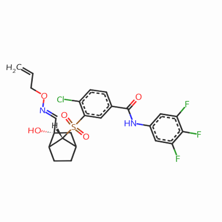 C=CCO/N=C/[C@@]1(O)CC2CCC1[C@@H]2S(=O)(=O)c1cc(C(=O)Nc2cc(F)c(F)c(F)c2)ccc1Cl